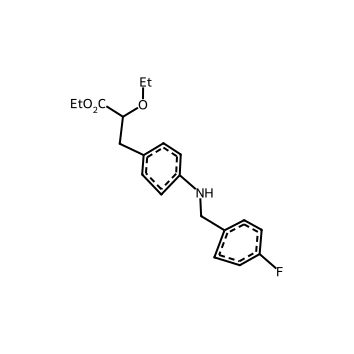 CCOC(=O)C(Cc1ccc(NCc2ccc(F)cc2)cc1)OCC